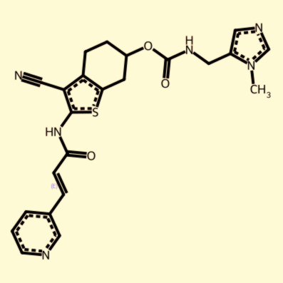 Cn1cncc1CNC(=O)OC1CCc2c(sc(NC(=O)/C=C/c3cccnc3)c2C#N)C1